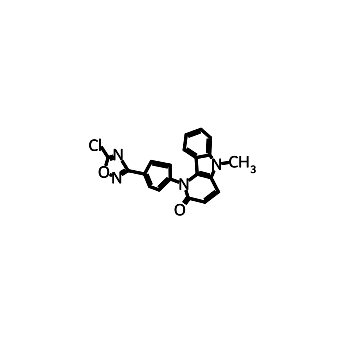 Cn1c2ccccc2c2c1ccc(=O)n2-c1ccc(-c2noc(Cl)n2)cc1